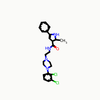 CC1NC(c2ccccc2)=CC1C(=O)NCCN1CCN(c2cccc(Cl)c2Cl)CC1